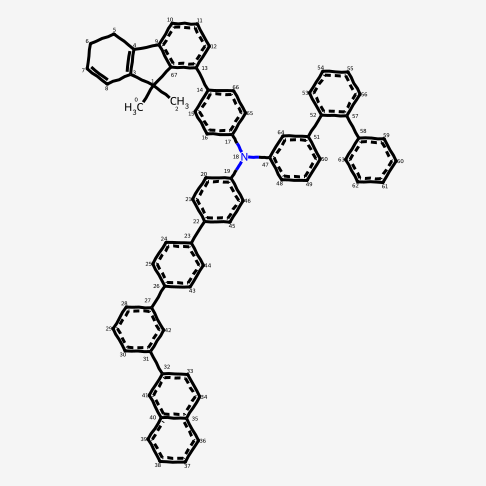 CC1(C)C2=C(CCC=C2)c2cccc(-c3ccc(N(c4ccc(-c5ccc(-c6cccc(-c7ccc8ccccc8c7)c6)cc5)cc4)c4cccc(-c5ccccc5-c5ccccc5)c4)cc3)c21